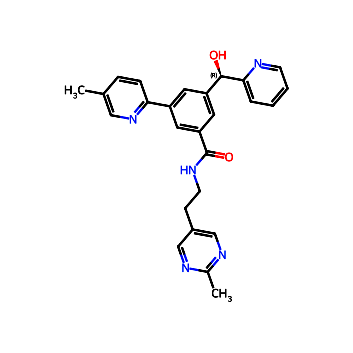 Cc1ccc(-c2cc(C(=O)NCCc3cnc(C)nc3)cc([C@@H](O)c3ccccn3)c2)nc1